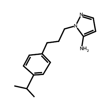 CC(C)c1ccc(CCCn2nccc2N)cc1